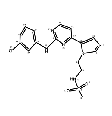 CS(=O)(=O)NCCn1cncc1-c1ccnc(Nc2cccc(Cl)c2)n1